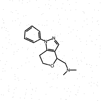 CN(C)CC1OCCc2c1cnn2-c1ccccc1